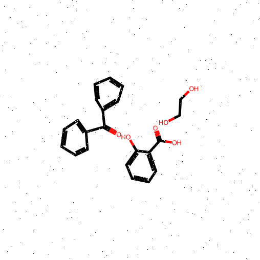 O=C(O)c1ccccc1O.O=C(c1ccccc1)c1ccccc1.OCCO